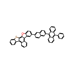 c1ccc(-c2c3ccccc3c(-c3ccc4cc(-c5ccc6oc7c8sc9ccccc9c8c8ccccc8c7c6c5)ccc4c3)c3ccccc23)cc1